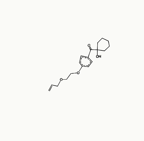 C=CCOCCOc1ccc(C(=O)C2(O)CCCCC2)cc1